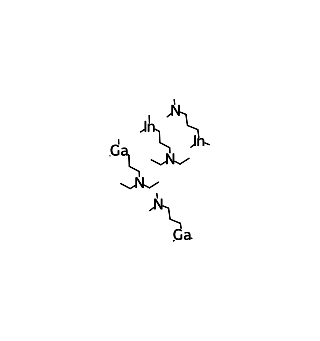 CCN(CC)CC[CH2][Ga]([CH3])[CH3].CCN(CC)CC[CH2][In]([CH3])[CH3].CN(C)CC[CH2][Ga]([CH3])[CH3].CN(C)CC[CH2][In]([CH3])[CH3]